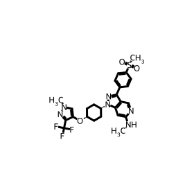 CNc1cc2c(cn1)c(-c1ccc(S(C)(=O)=O)cc1)nn2[C@H]1CC[C@@H](Oc2cn(C)nc2C(F)(F)F)CC1